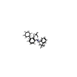 CC(C)Oc1c(/C=N/c2ccccc2C(F)(F)F)cccc1C1CCCCC1